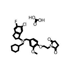 COc1cc(CN(CC2CCCCC2)C2CCc3cc(F)c(Cl)cc32)ccc1OCCN1C(=O)CCC1=O.O=C(O)O